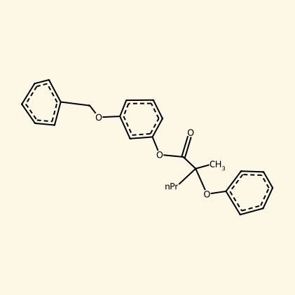 CCCC(C)(Oc1ccccc1)C(=O)Oc1cccc(OCc2ccccc2)c1